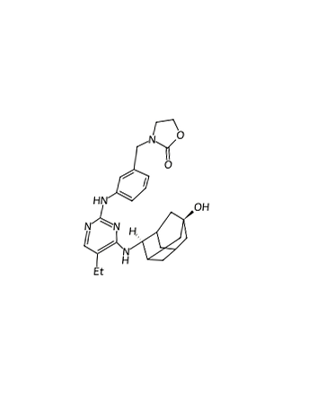 CCc1cnc(Nc2cccc(CN3CCOC3=O)c2)nc1N[C@H]1C2CC3CC1C[C@@](O)(C3)C2